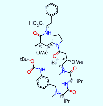 CC[C@H](C)[C@@H]([C@@H](CC(=O)N1CCC[C@H]1[C@H](OC)[C@@H](C)C(=O)N[C@@H](Cc1ccccc1)C(=O)O)OC)N(C)C(=O)[C@@H](NC(=O)[C@H](C(C)C)N(C)Cc1cccc(NC(=O)OC(C)(C)C)c1)C(C)C